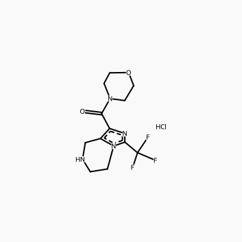 Cl.O=C(c1nc(C(F)(F)F)n2c1CNCC2)N1CCOCC1